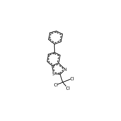 ClC(Cl)(Cl)c1nc2cc(-c3ccccc3)ccc2s1